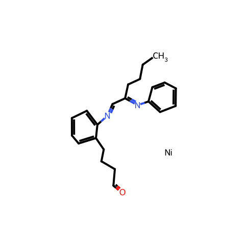 CCCCC(C=Nc1ccccc1CCCC=O)=Nc1ccccc1.[Ni]